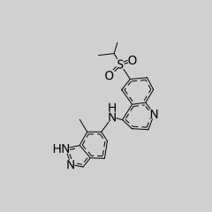 Cc1c(Nc2ccnc3ccc(S(=O)(=O)C(C)C)cc23)ccc2cn[nH]c12